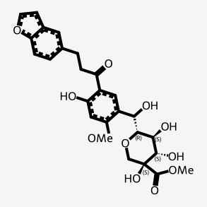 COC(=O)[C@]1(O)CO[C@H](C(O)c2cc(C(=O)CCc3ccc4occc4c3)c(O)cc2OC)[C@@H](O)[C@@H]1O